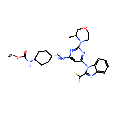 C[C@H]1COCCN1c1nc(NC[C@H]2CC[C@H](NC(=O)OC(C)(C)C)CC2)cc(-n2c(C(F)F)nc3ccccc32)n1